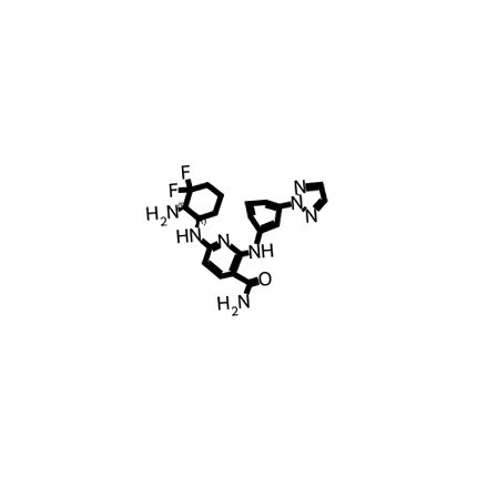 NC(=O)c1ccc(N[C@@H]2CCCC(F)(F)[C@@H]2N)nc1Nc1cccc(-n2nccn2)c1